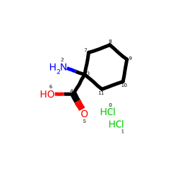 Cl.Cl.NC1(C(=O)O)CCCCC1